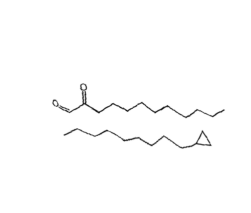 CCCCCCCCCC1CC1.CCCCCCCCCCC(=O)C=O